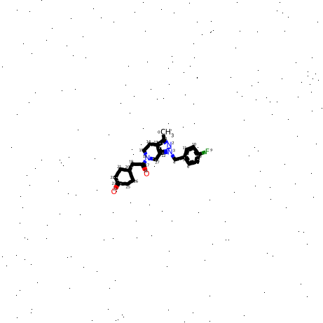 Cc1nn(Cc2ccc(F)cc2)c2c1CCN(C(=O)CC1CCC(=O)CC1)C2